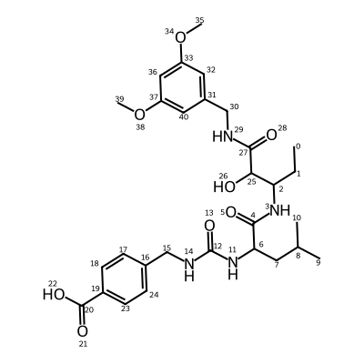 CCC(NC(=O)C(CC(C)C)NC(=O)NCc1ccc(C(=O)O)cc1)C(O)C(=O)NCc1cc(OC)cc(OC)c1